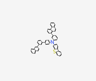 c1cc(-c2ccc(N(c3cccc(-c4cccc5c4ccc4ccccc45)c3)c3ccc4c(c3)sc3ccccc34)cc2)cc(-c2ccc3ccccc3c2)c1